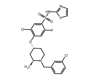 C[C@H]1C[C@H](Oc2cc(F)c(S(=O)(=O)Nc3nccs3)cc2Cl)CCN1Cc1cccc(Cl)c1